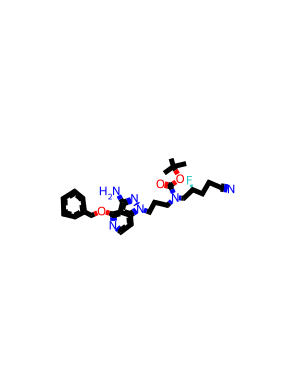 CC(C)(C)OC(=O)N(CCCn1nc(N)c2c(OCc3ccccc3)nccc21)C[C@@H](F)CCC#N